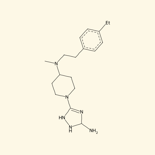 CCc1ccc(CCN(C)C2CCN(C3=NC(N)NN3)CC2)cc1